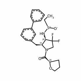 CC[S+]([O-])N[C@@H]1[C@H](Cc2cccc(-c3ccccc3)c2)N(C(=O)[C@H]2CCCO2)CC1(F)F